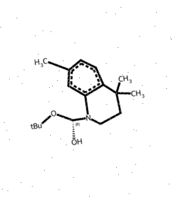 Cc1ccc2c(c1)N([C@H](O)OC(C)(C)C)CCC2(C)C